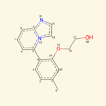 Cc1ccc(-c2cccc3nccn23)c(OCCO)c1